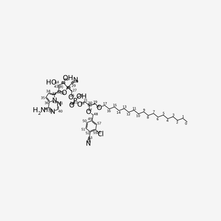 CCCCCCCCCCCCCCCCCCOC[C@H](COP(=O)(O)OC[C@@]1(C#N)O[C@@H](c2ccc3c(N)ncnn23)[C@H](O)[C@@H]1O)OCc1ccc(C#N)c(Cl)c1